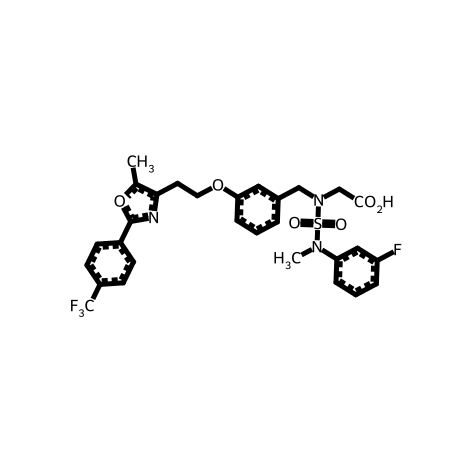 Cc1oc(-c2ccc(C(F)(F)F)cc2)nc1CCOc1cccc(CN(CC(=O)O)S(=O)(=O)N(C)c2cccc(F)c2)c1